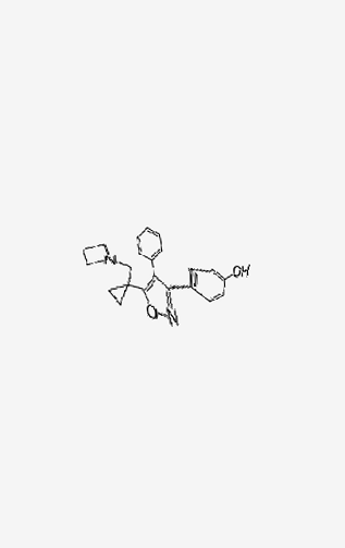 Oc1ccc(-c2noc(C3(CN4CCC4)CC3)c2-c2ccccc2)cc1